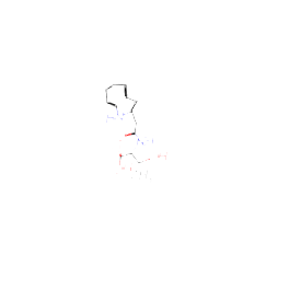 C[C@@H](O)[C@H](NC(=O)Cc1cc2ccccc2[nH]1)C(=O)O